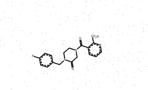 O=C(O)c1ncccc1C(=O)N1CCN(Cc2ccc(F)cc2)C(=O)C1